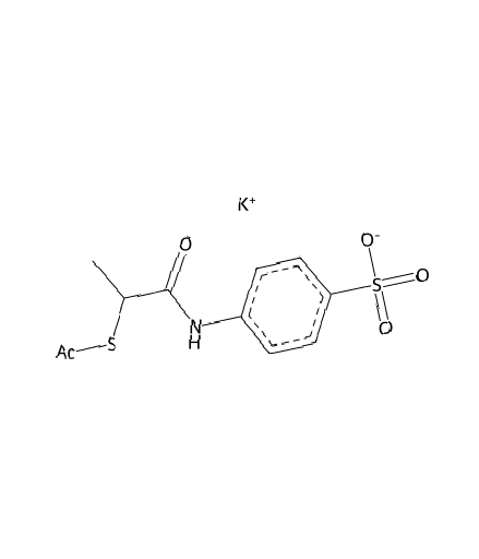 CC(=O)SC(C)C(=O)Nc1ccc(S(=O)(=O)[O-])cc1.[K+]